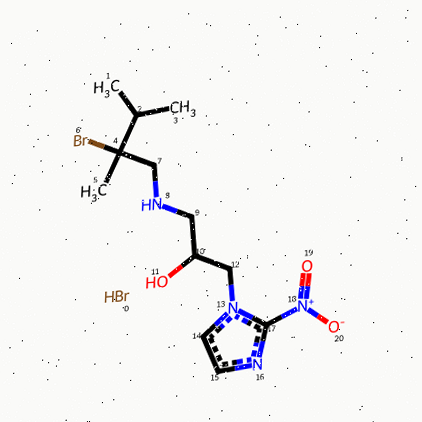 Br.CC(C)C(C)(Br)CNCC(O)Cn1ccnc1[N+](=O)[O-]